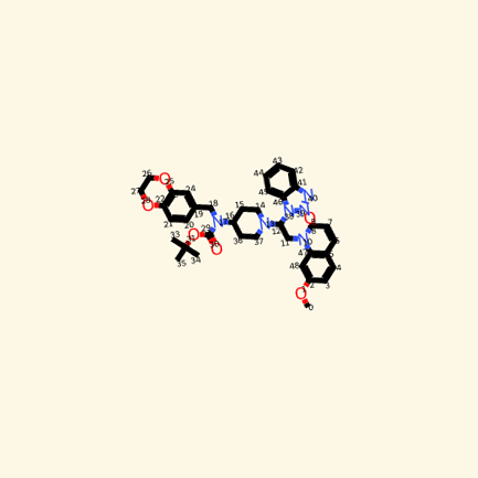 COc1ccc2ccc(=O)n(CC(N3CCC(N(Cc4ccc5c(c4)OCCO5)C(=O)OC(C)(C)C)CC3)n3nnc4ccccc43)c2c1